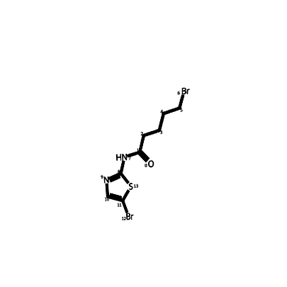 O=C(CCCCBr)Nc1ncc(Br)s1